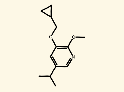 COc1ncc(C(C)C)cc1OCC1CC1